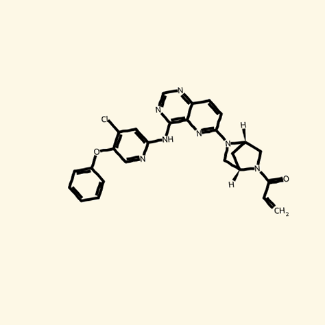 C=CC(=O)N1C[C@@H]2C[C@H]1CN2c1ccc2ncnc(Nc3cc(Cl)c(Oc4ccccc4)cn3)c2n1